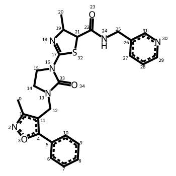 Cc1noc(-c2ccccc2)c1CN1CCN(C2=NC(C)C(C(=O)NCc3cccnc3)S2)C1=O